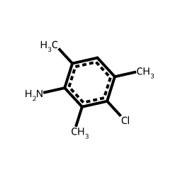 Cc1cc(C)c(Cl)c(C)c1N